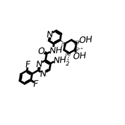 C[C@@H]1C[C@H](c2ccncc2NC(=O)c2nc(-c3c(F)cccc3F)ncc2N)C[C@H](O)[C@@]1(C)O